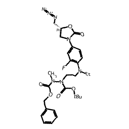 CCN(CCN(C(=O)OC(C)(C)C)N(C)C(=O)OCc1ccccc1)c1ccc(N2C[C@H](CN=[N+]=[N-])OC2=O)cc1F